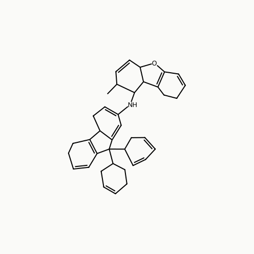 CC1C=CC2OC3=C(CCC=C3)C2C1NC1=CCC2C(=C1)C(C1C=CC=CC1)(C1CC=CCC1)C1=C2CCC=C1